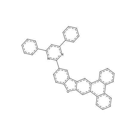 c1ccc(-c2cc(-c3ccccc3)nc(-c3ccc4oc5cc6c7ccccc7c7ccccc7c6cc5c4c3)n2)cc1